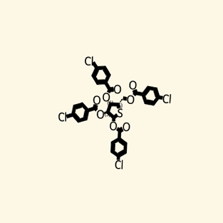 O=C(OC[C@@H]1SC(OC(=O)c2ccc(Cl)cc2)[C@@H](OC(=O)c2ccc(Cl)cc2)[C@@H]1OC(=O)c1ccc(Cl)cc1)c1ccc(Cl)cc1